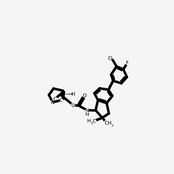 CC1(C)Cc2cc(-c3ccc(F)c(Cl)c3)ccc2C1NC(=O)O[C@H]1CN2CCC1CC2